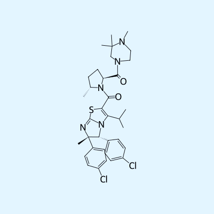 CC(C)C1=C(C(=O)N2[C@H](C)CC[C@H]2C(=O)N2CCN(C)C(C)(C)C2)SC2=N[C@@](C)(c3ccc(Cl)cc3)[C@@H](c3ccc(Cl)cc3)N21